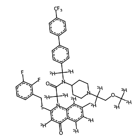 [2H]c1c(C)c([2H])c2c(c1[2H])c(=O)c([2H])c(SCc1cccc(F)c1F)n2C([2H])([2H])C(=O)N(C1CCN(C([2H])([2H])COC([2H])([2H])[2H])CC1)C([2H])([2H])c1ccc(-c2ccc(C(F)(F)F)cc2)cc1